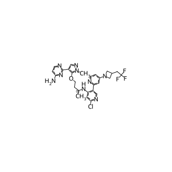 C[C@@H](CCOc1c(-c2nccc(N)n2)cnn1C)Nc1cc(Cl)ncc1-c1cc(N2CC(CC(F)(F)F)C2)ccn1